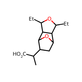 CCC1OC(CC)C2C3OC(CC3C(C)C(=O)O)C12